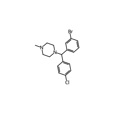 CN1CCN(C(c2ccc(Cl)cc2)c2cccc(Br)c2)CC1